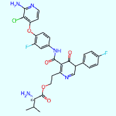 CC(C)[C@H](N)C(=O)OCCC1=C(C(=O)Nc2ccc(Oc3ccnc(N)c3Cl)c(F)c2)C(=O)C(c2ccc(F)cc2)C=N1